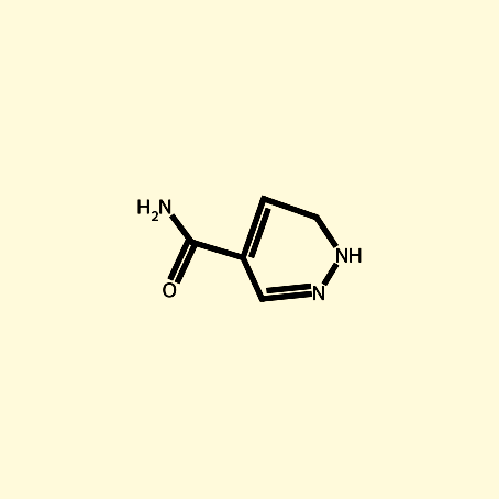 NC(=O)C1=CCNN=C1